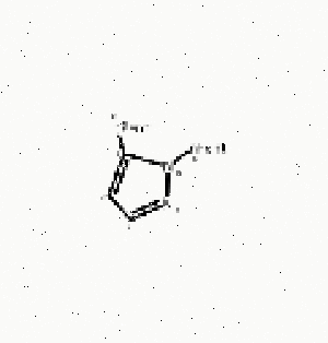 CCCCCc1c[c]nn1CCCCC